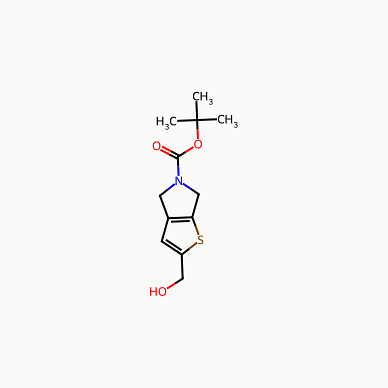 CC(C)(C)OC(=O)N1Cc2cc(CO)sc2C1